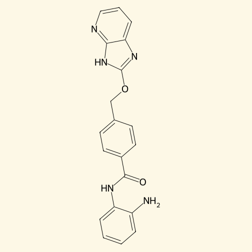 Nc1ccccc1NC(=O)c1ccc(COc2nc3cccnc3[nH]2)cc1